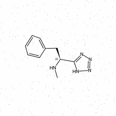 CN[C@@H](Cc1ccccc1)c1nnn[nH]1